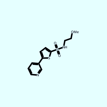 COCCNS(=O)(=O)c1ccc(-c2cccnc2)s1